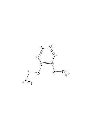 CCSc1ccncc1CN